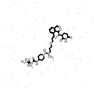 CN(C(=O)c1c(C=O)cccc1CCCOCCCN(C)[S+]([O-])N1CCC(NC(=O)OC(C)(C)C)CC1)C1CCC(=O)NC1=O